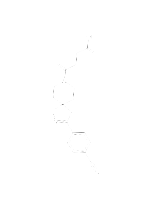 N#Cc1ccc(C2=NOC3(CCN(C(=O)CCC(=O)O)CC3)C2)cc1